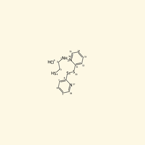 Cl.NCCS.c1ccc(SSc2ccccn2)nc1